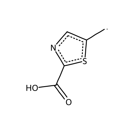 [CH2]c1cnc(C(=O)O)s1